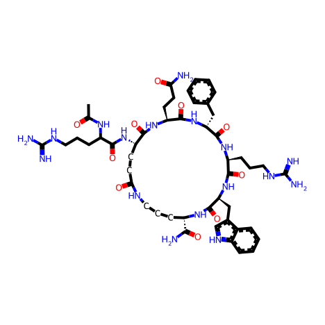 CC(=O)NC(CCCNC(=N)N)C(=O)N[C@H]1CCC(=O)NCCC[C@@H](C(N)=O)NC(=O)[C@H](Cc2c[nH]c3ccccc23)NC(=O)[C@H](CCCNC(=N)N)NC(=O)[C@@H](Cc2ccccc2)NC(=O)[C@H](CCC(N)=O)NC1=O